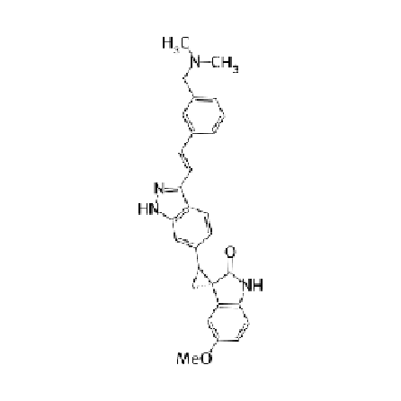 COc1ccc2c(c1)[C@]1(CC1c1ccc3c(/C=C/c4cccc(CN(C)C)c4)n[nH]c3c1)C(=O)N2